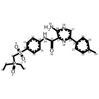 CCP(=O)(CC)CS(=O)(=O)c1ccc(NC(=O)c2nc(-c3ccc(C)cc3)cnc2N)cc1